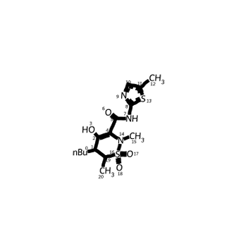 CCCCC1C(O)=C(C(=O)Nc2ncc(C)s2)N(C)S(=O)(=O)C1C